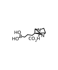 O=C(O)C12N3CC4N1C3C42CCCB(O)O